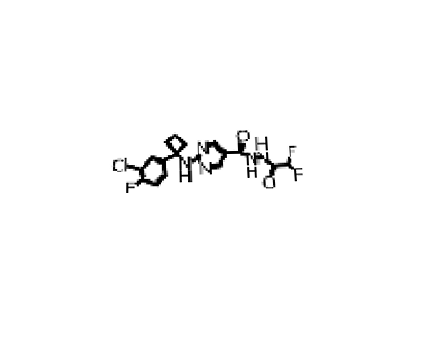 O=C(NNC(=O)C(F)F)c1cnc(NC2(c3ccc(F)c(Cl)c3)CCC2)nc1